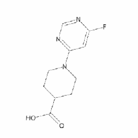 O=C(O)C1CCN(c2cc(F)ncn2)CC1